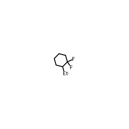 C[CH]C1CCCCC1(F)F